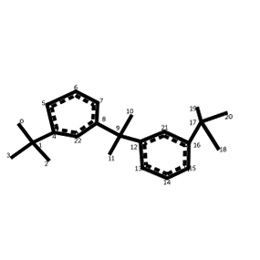 CC(C)(C)c1[c]ccc(C(C)(C)c2cc[c]c(C(C)(C)C)c2)c1